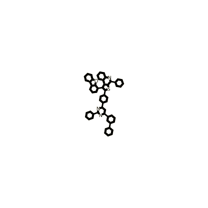 c1ccc(-c2cccc(-c3cc(-c4ccc(-c5sc6c(-c7ccccc7)nc7ccccc7c6c5-c5cccc6c5oc5ccccc56)cc4)nc(-c4ccccc4)n3)c2)cc1